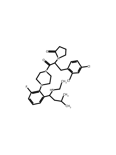 CCNC(CC(C)C)c1cccc(F)c1N1CCN(C(=O)C(Cc2ccc(Cl)cc2Cl)N2CCCC2=O)CC1